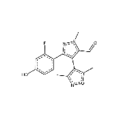 Cc1noc(C)c1-c1c(-c2ccc(O)cc2F)nn(C)c1C=O